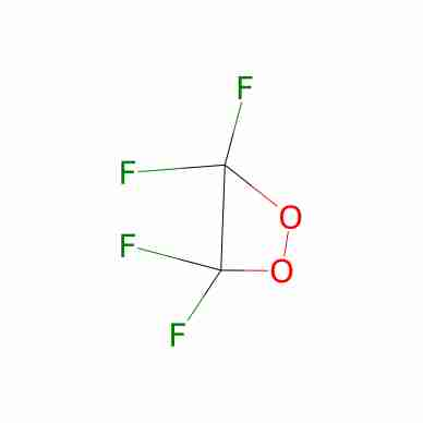 FC1(F)OOC1(F)F